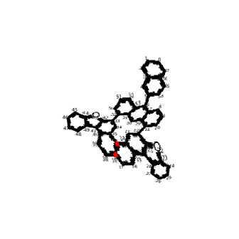 c1ccc2cc(-c3c4cccc(-c5cc6ccccc6c6c5oc5ccccc56)c4cc4c(-c5cc6ccccc6c6c5oc5ccccc56)cccc34)ccc2c1